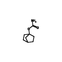 NC(=O)OC12CCC(CC1)C2